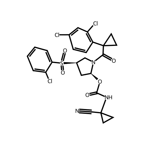 N#CC1(NC(=O)O[C@H]2C[C@@H](S(=O)(=O)c3ccccc3Cl)CN2C(=O)C2(c3ccc(Cl)cc3Cl)CC2)CC1